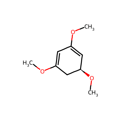 COC1=C[C@@H](OC)CC(OC)=C1